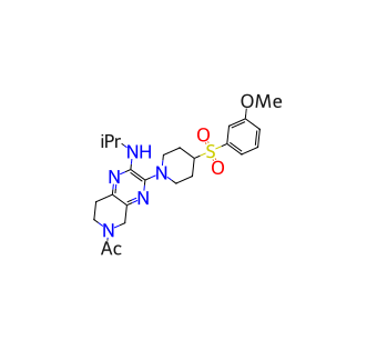 COc1cccc(S(=O)(=O)C2CCN(c3nc4c(nc3NC(C)C)CCN(C(C)=O)C4)CC2)c1